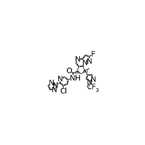 C[C@@]1(c2cnn(C(F)(F)F)c2)C[C@@H](C(=O)Nc2cnc(-n3nccn3)c(Cl)c2)c2cnc3cc(F)nn3c21